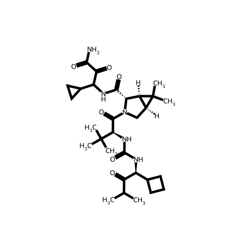 CC(C)C(=O)[C@@H](NC(=O)N[C@H](C(=O)N1C[C@H]2[C@@H]([C@H]1C(=O)NC(C(=O)C(N)=O)C1CC1)C2(C)C)C(C)(C)C)C1CCC1